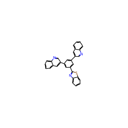 c1ccc2ncc(-c3cc(-c4cnc5ccccc5c4)cc(-c4nc5ccccc5s4)c3)cc2c1